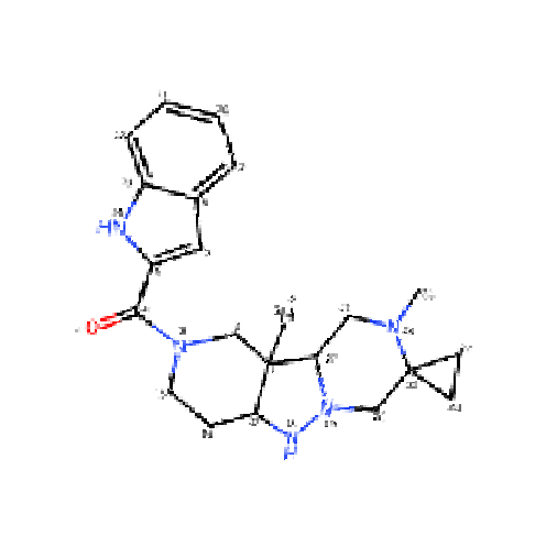 [2H]C12CN(C(=O)c3cc4ccccc4[nH]3)CCC1NN1CC3(CC3)N(C)CC12